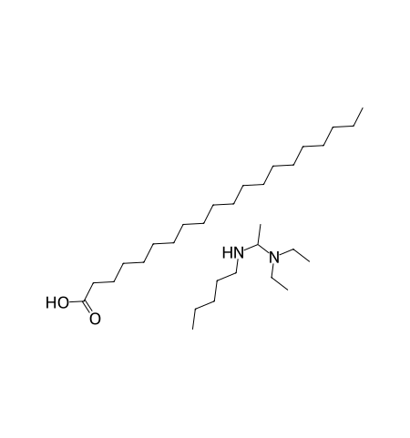 CCCCCCCCCCCCCCCCCCCC(=O)O.CCCCCNC(C)N(CC)CC